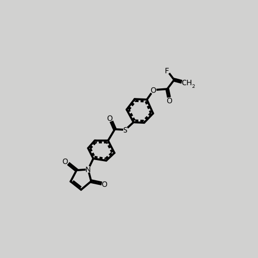 C=C(F)C(=O)Oc1ccc(SC(=O)c2ccc(N3C(=O)C=CC3=O)cc2)cc1